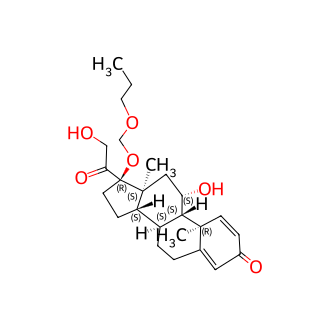 CCCOCO[C@]1(C(=O)CO)CC[C@H]2[C@@H]3CCC4=CC(=O)C=C[C@]4(C)[C@H]3[C@@H](O)C[C@@]21C